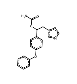 NC(=O)OC(Cn1ncnn1)c1ccc(Oc2ccccc2)cc1